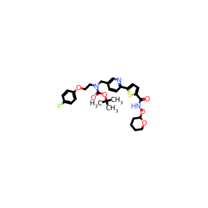 CC(C)(C)OC(=O)N(CCOc1ccc(F)cc1)Cc1ccc(-c2ccc(C(=O)NOC3CCCCO3)s2)nc1